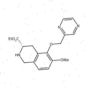 CCOC(=O)[C@@H]1Cc2c(ccc(OC)c2OCc2cnccn2)CN1